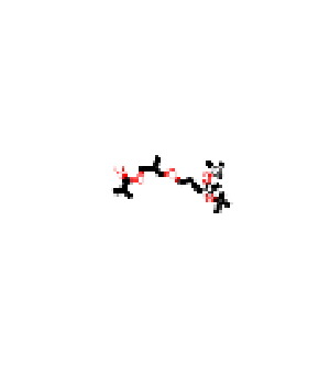 C=C(C)C(=O)OCC(C)COCCC[Si](C)(O[Si](C)(C)C)O[Si](C)(C)C